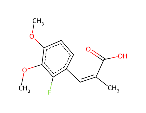 COc1ccc(C=C(C)C(=O)O)c(F)c1OC